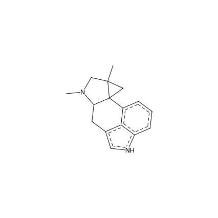 CN1CC2(C)CC23c2cccc4[nH]cc(c24)CC13